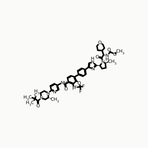 COC(=O)N[C@H](C(=O)N1[C@@H](C)CC[C@H]1c1nc(-c2ccc(-c3ccc(C(=O)Nc4ccc(N5CCN(C(=O)C(C)(C)C)C[C@H]5C)nc4)c(F)c3OC(F)(F)F)cc2)c[nH]1)C1CCOCC1